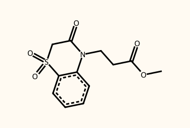 COC(=O)CCN1C(=O)CS(=O)(=O)c2ccccc21